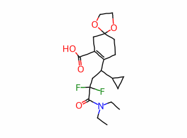 CCN(CC)C(=O)C(F)(F)CC(C1=C(C(=O)O)CC2(CC1)OCCO2)C1CC1